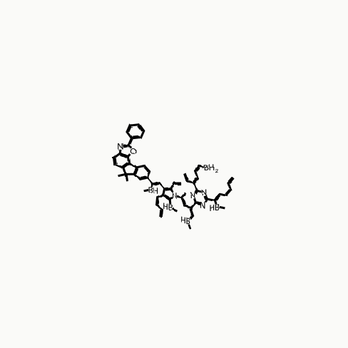 B/C=C\C=C(/C=C)c1nc(/C(BC)=C/C=C\C=C)nc(C(=C/BC)/C=C(\C)n2c(BC)c(/C=C\C=C)c(/C=C(\BC)c3ccc4c(c3)C(C)(C)c3ccc5nc(-c6ccccc6)oc5c3-4)c2C=C)n1